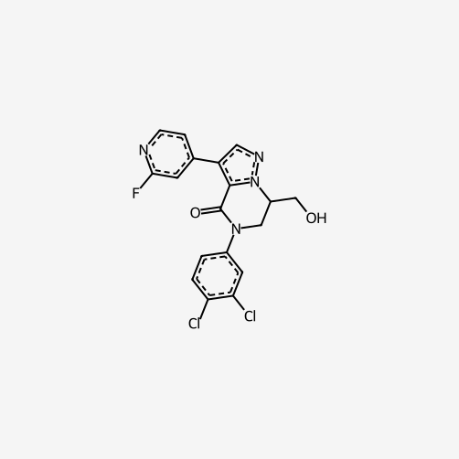 O=C1c2c(-c3ccnc(F)c3)cnn2C(CO)CN1c1ccc(Cl)c(Cl)c1